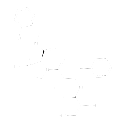 C/C=C(/C)C(=O)N[C@@H](Cc1ccccc1)[C@H](O)C(=O)N1CSC(C)(C)[C@H]1C(=O)NCc1ccccc1C